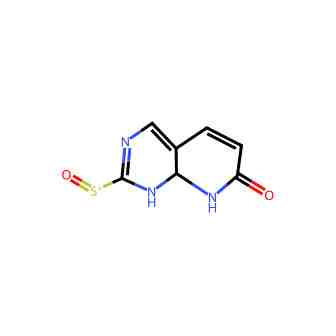 O=[S+]C1=NC=C2C=CC(=O)NC2N1